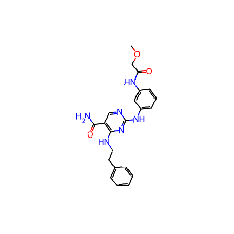 COCC(=O)Nc1cccc(Nc2ncc(C(N)=O)c(NCCc3ccccc3)n2)c1